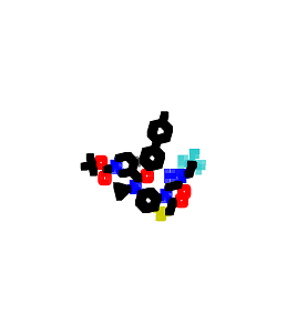 CC1C=CC(c2cccc([C@H]3CCN(C(=O)OC(C)(C)C)CC3C(=O)N(c3ccc4c(c3)N(CC(=O)NCC(F)(F)F)C(=O)CS4)C3CC3)c2)=CC1